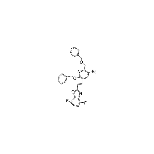 CCc1cc(C=Cc2nc3c(F)ccc(F)c3o2)c(OCc2ccccc2)nc1COCc1ccccc1